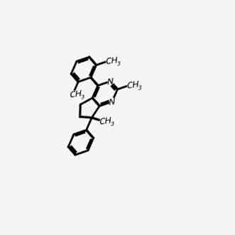 Cc1nc(-c2c(C)cccc2C)c2c(n1)C(C)(c1ccccc1)CC2